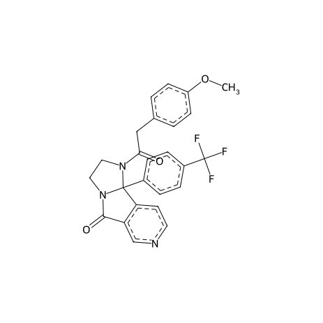 COc1ccc(CC(=O)N2CCN3C(=O)c4cnccc4C23c2ccc(C(F)(F)F)cc2)cc1